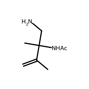 C=C(C)C(C)(CN)NC(C)=O